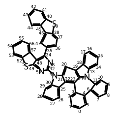 c1ccc2c(c1)-c1ccccc1-n1c3ccccc3c3cc4c(c-2c31)c1ccccc1n4-c1nc(-c2ccc3sc4ccccc4c3c2)c2c(n1)sc1ccccc12